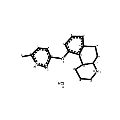 Cc1ccc(Oc2cccc3c2C2CCCNC2CC3)nn1.Cl